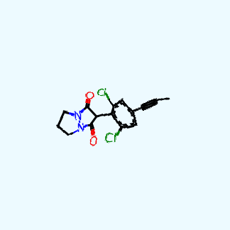 CC#Cc1cc(Cl)c(C2C(=O)N3CCCN3C2=O)c(Cl)c1